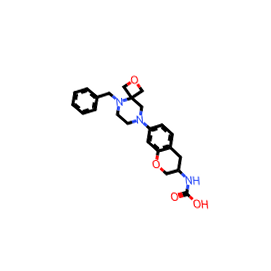 O=C(O)NC1COc2cc(N3CCN(Cc4ccccc4)C4(COC4)C3)ccc2C1